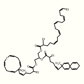 CC/C=C\C/C=C\C/C=C\C/C=C\C/C=C\CCC(CC)C(=O)OCC(COC(=O)C(CC)CC/C=C\C1(C)/C=C\C/C=C\C/C=C\C/C=C\1)OC(=O)C(CC)CC/C=C\C1(C)C=CC2(C=CCC=C2)C=C1